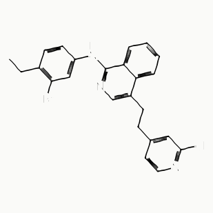 CCc1ccc(Nc2ncc(CCc3ccnc(Cl)c3)c3ccccc23)cc1Br